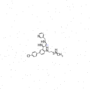 CNSCCNc1ccc(-c2ccc(Cl)cc2)cc1C(=N)/C=C\NCc1cccnc1